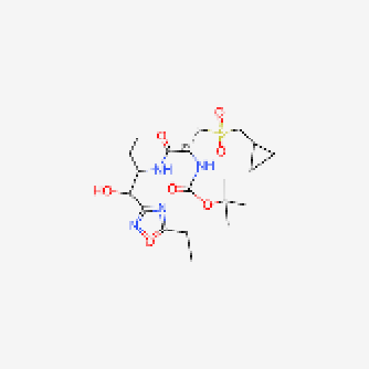 CCc1nc(C(O)C(CC)NC(=O)[C@H](CS(=O)(=O)CC2CC2)NC(=O)OC(C)(C)C)no1